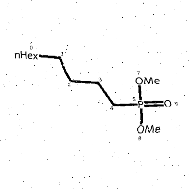 CCCCCCCCCCP(=O)(OC)OC